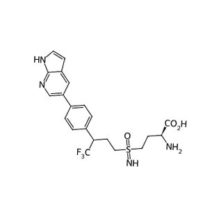 N=S(=O)(CCC(c1ccc(-c2cnc3[nH]ccc3c2)cc1)C(F)(F)F)CC[C@H](N)C(=O)O